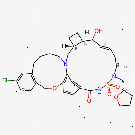 C[C@H]1C/C=C/C(O)[C@@H]2CC[C@H]2CN2CCCCc3cc(Cl)ccc3COc3ccc(cc32)C(=O)NS(=O)(=O)N1C[C@@H]1CCCO1